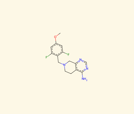 COc1cc(F)c(CN2CCc3c(N)ncnc3C2)c(F)c1